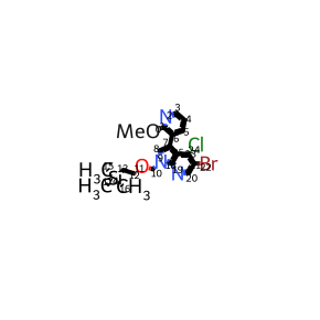 COc1ncccc1-c1cn(COCC[Si](C)(C)C)c2ncc(Br)c(Cl)c12